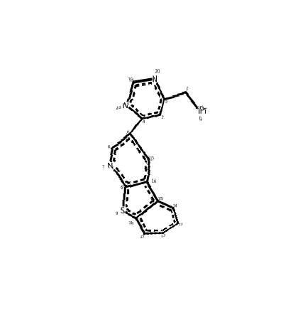 CC(C)Cc1cc(-c2cnc3sc4ccccc4c3c2)ncn1